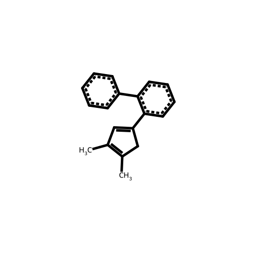 CC1=C(C)CC(c2ccccc2-c2ccccc2)=C1